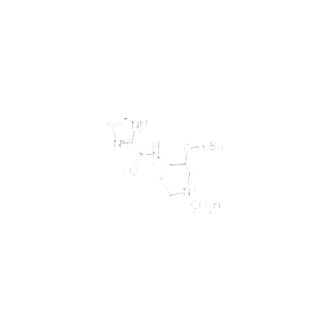 CCCCOC1CN(C(=O)O)CCC1NC(=O)c1ncc[nH]1